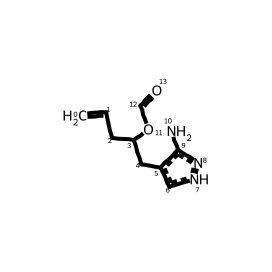 C=CCC(Cc1c[nH]nc1N)OC=O